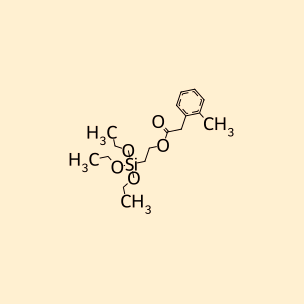 CCO[Si](CCOC(=O)Cc1ccccc1C)(OCC)OCC